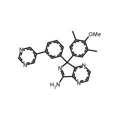 COc1c(C)cc(C2(c3cccc(-c4cncnc4)c3)N=C(N)c3nccnc32)cc1C